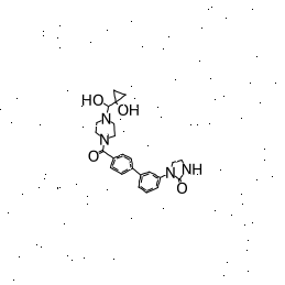 O=C(c1ccc(-c2cccc(N3CCNC3=O)c2)cc1)N1CCN(C(O)C2(O)CC2)CC1